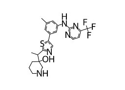 Cc1cc(Nc2nccc(C(F)(F)F)n2)cc(-c2cnc(C(C)C3(O)CCCNC3)s2)c1